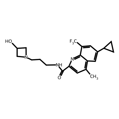 Cc1cc(C(=O)NCCCN2CC(O)C2)nc2c(C(F)(F)F)cc(C3CC3)cc12